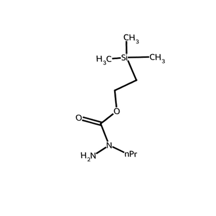 CCCN(N)C(=O)OCC[Si](C)(C)C